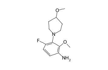 COc1c(N)ccc(F)c1N1CCC(OC)CC1